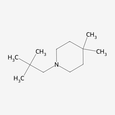 CC(C)(C)CN1CCC(C)(C)CC1